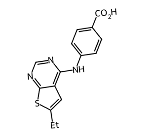 CCc1cc2c(Nc3ccc(C(=O)O)cc3)ncnc2s1